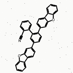 N#Cc1ccccc1-c1cc(-c2ccc3c(c2)oc2ccccc23)ccc1-c1ccc2c(c1)oc1ccccc12